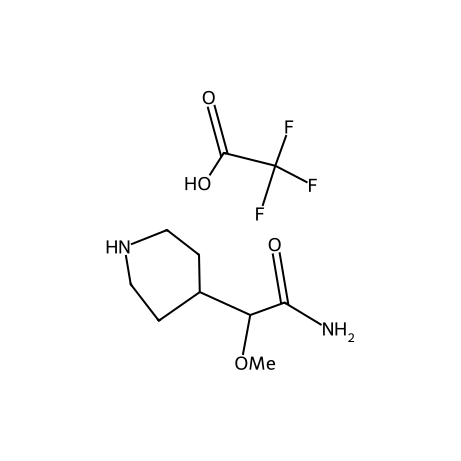 COC(C(N)=O)C1CCNCC1.O=C(O)C(F)(F)F